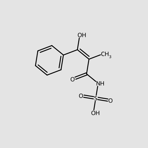 CC(C(=O)NS(=O)(=O)O)=C(O)c1ccccc1